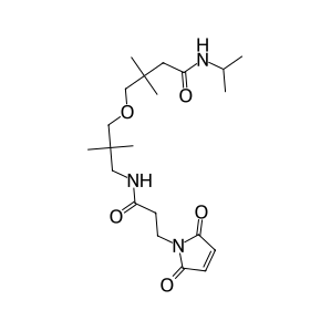 CC(C)NC(=O)CC(C)(C)COCC(C)(C)CNC(=O)CCN1C(=O)C=CC1=O